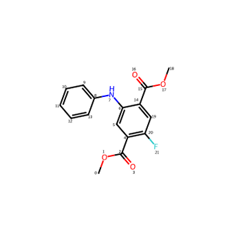 COC(=O)c1cc(Nc2ccccc2)c(C(=O)OC)cc1F